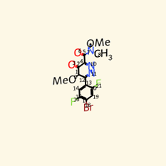 COC1C(=O)C(C(=O)N(C)OC)=NN=C1c1cc(F)c(Br)cc1F